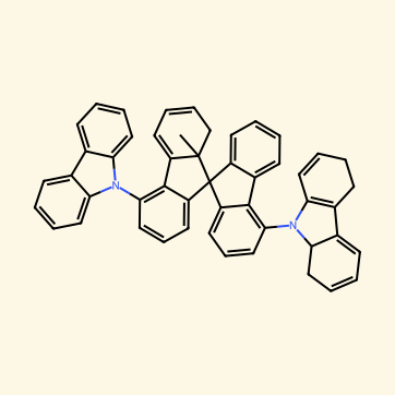 CC12CC=CC=C1c1c(-n3c4ccccc4c4ccccc43)cccc1C21c2ccccc2-c2c(N3C4=C(CCC=C4)C4=CC=CCC43)cccc21